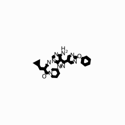 N#CC(=CC1CC1)C(=O)N1CCC[C@@H](n2nc(-c3cnc(Oc4ccccc4)nc3)c3c(N)ncnc32)C1